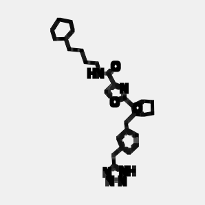 O=C(NCCCCC1CCCCC1)c1coc(C2C3CCC(O3)C2Cc2cccc(Cc3nnn[nH]3)c2)n1